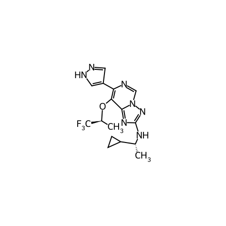 C[C@H](Oc1c(-c2cn[nH]c2)ncn2nc(N[C@H](C)C3CC3)nc12)C(F)(F)F